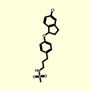 CS(=O)(=O)NCCCc1ccc(OC2CCc3cc(Cl)ccc32)cc1